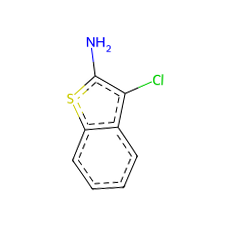 Nc1sc2ccccc2c1Cl